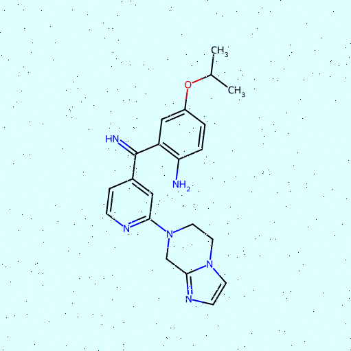 CC(C)Oc1ccc(N)c(C(=N)c2ccnc(N3CCn4ccnc4C3)c2)c1